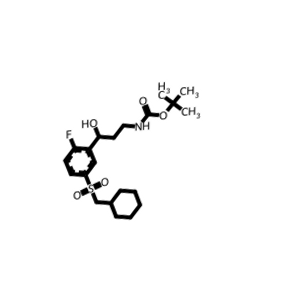 CC(C)(C)OC(=O)NCCC(O)c1cc(S(=O)(=O)CC2CCCCC2)ccc1F